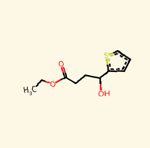 CCOC(=O)CCC(O)c1cccs1